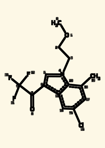 COCCn1cc(C(=O)C(F)(F)F)c2cc(Cl)cc(C)c21